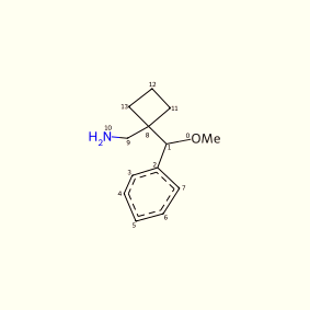 COC(c1ccccc1)C1(CN)CCC1